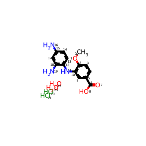 COc1ccc(C(=O)O)cc1Nc1ccc(N)cc1N.Cl.Cl.O.O